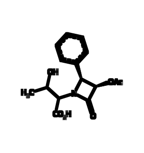 CC(=O)O[C@H]1C(=O)N(C(C(=O)O)C(C)O)[C@H]1c1ccccc1